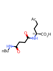 CCCCNC(=O)CCC(=O)N[C@@H](CCC(C)=O)C(=O)O